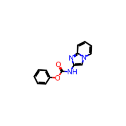 O=C(Nc1cn2ccccc2n1)Oc1ccccc1